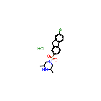 CC1CN(S(=O)(=O)c2ccc3c(c2)Cc2cc(Br)ccc2-3)CC(C)N1.Cl